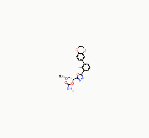 Cc1c(-c2ccc3c(c2)OCCO3)cccc1-c1nnc([C@@H](COC(C)(C)C)OC(N)=O)o1